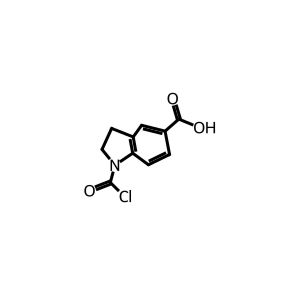 O=C(O)c1ccc2c(c1)CCN2C(=O)Cl